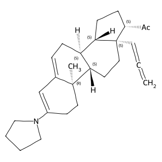 C=C=C[C@]12CC[C@H]3[C@@H](CC=C4C=C(N5CCCC5)CC[C@@]43C)[C@@H]1CC[C@@H]2C(C)=O